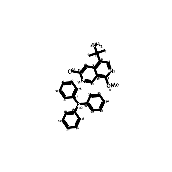 COc1ncc(C(C)(C)N)c2cc(Cl)ncc12.c1ccc(P(c2ccccc2)c2ccccc2)cc1